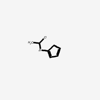 C[CH](Cl)[Zr][C]1=CC=CC1